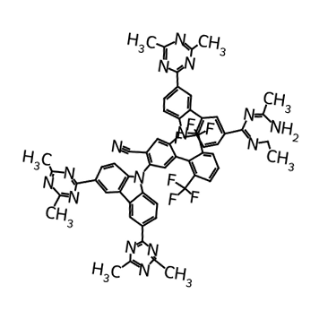 CC/N=C(\N=C(\C)N)c1ccc2c(c1)c1cc(-c3nc(C)nc(C)n3)ccc1n2-c1cc(C#N)c(-n2c3ccc(-c4nc(C)nc(C)n4)cc3c3cc(-c4nc(C)nc(C)n4)ccc32)cc1-c1c(C(F)(F)F)cccc1C(F)(F)F